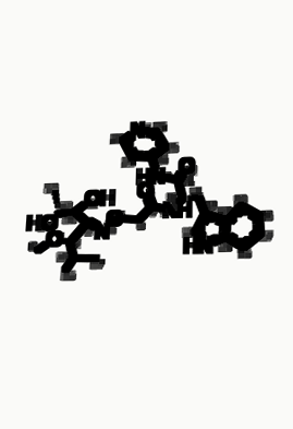 CO[C@H](/C(=N/OCC(=O)N[C@@H](Cc1c[nH]c2ccccc12)C(=O)Nc1ccncc1)C(O)[C@@H](C)O)C(C)C